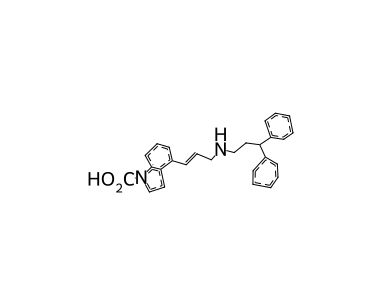 O=C(O)n1ccc2c(C=CCNCCC(c3ccccc3)c3ccccc3)cccc21